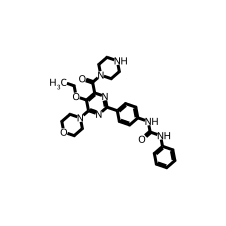 CCOc1c(C(=O)N2CCNCC2)nc(-c2ccc(NC(=O)Nc3ccccc3)cc2)nc1N1CCOCC1